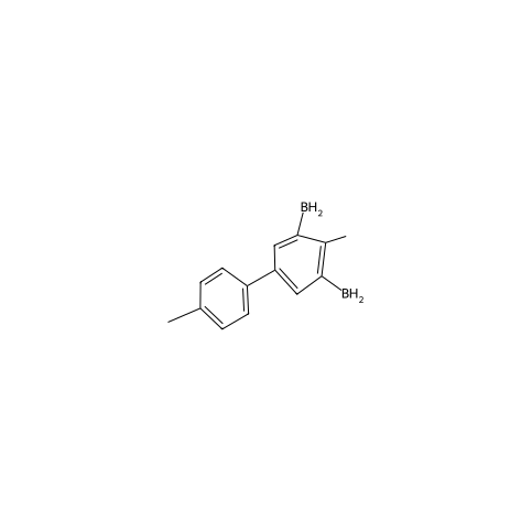 Bc1cc(-c2ccc(C)cc2)cc(B)c1C